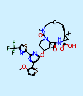 COc1ccsc1-c1cc(O[C@H]2CCN3C(=O)N(C)CCCC/C=C\[C@@H]4C[C@@]4(C(=O)O)NC(=O)[C@@H]3C2)nc(-c2nc(C(F)(F)F)cs2)n1